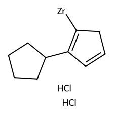 Cl.Cl.[Zr][C]1=C(C2CCCC2)C=CC1